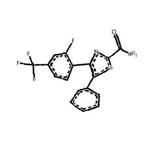 NC(=O)c1nc(-c2ccc(C(F)(F)F)cc2F)c(-c2ccccc2)s1